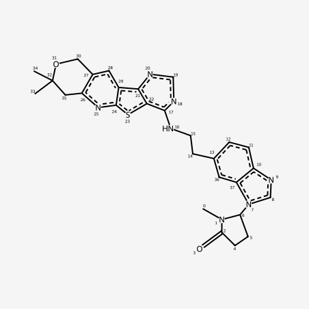 CN1C(=O)CCC1n1cnc2ccc(CCNc3ncnc4c3sc3nc5c(cc34)COC(C)(C)C5)cc21